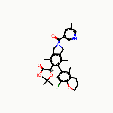 Cc1cncc(C(=O)N2Cc3c(C)c(-c4cc(F)c5c(c4C)CCCO5)c([C@H](OC(C)(C)C)C(=O)O)c(C)c3C2)c1